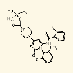 Cc1cccc(C)c1-n1c(NC(=O)c2ccccc2F)cc(N2CCN(C(=O)OC(C)(C)C)CC2)nc1=O